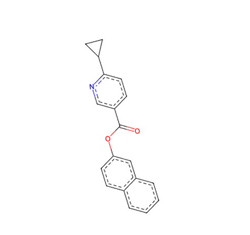 O=C(Oc1ccc2ccccc2c1)c1ccc(C2CC2)nc1